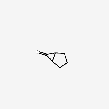 O=C1C2CCCC12